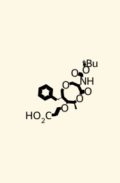 C[C@@H]1OC(=O)[C@@H](NC(=O)OC(C)(C)C)COC[C@@H](Cc2ccccc2)[C@H]1OC=CC(=O)O